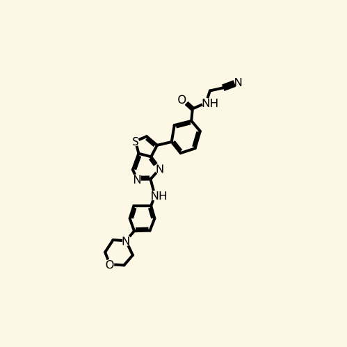 N#CCNC(=O)c1cccc(-c2csc3cnc(Nc4ccc(N5CCOCC5)cc4)nc23)c1